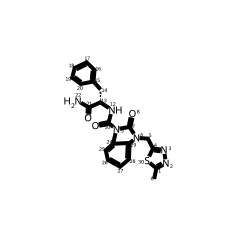 Cc1nnc(Cn2c(=O)n(C(=O)N[C@@H](Cc3ccccc3)C(N)=O)c3ccccc32)s1